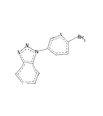 Bc1ccc(-n2nnc3ccccc32)cn1